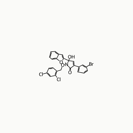 O=C1C(c2cccc(Br)c2)=CC(O)(c2cc3ccccc3o2)N1OCc1ccc(Cl)cc1Cl